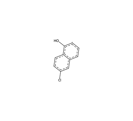 Oc1[c]ccc2cc(Cl)ccc12